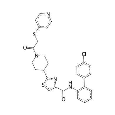 O=C(Nc1ccccc1-c1ccc(Cl)cc1)c1csc(C2CCN(C(=O)CSc3ccncc3)CC2)n1